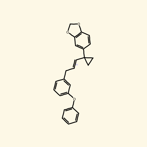 C(=C\C1(c2ccc3c(c2)OCO3)CC1)/Cc1cccc(Oc2ccccc2)c1